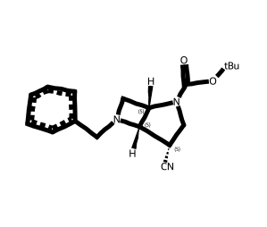 CC(C)(C)OC(=O)N1C[C@H](C#N)[C@H]2[C@@H]1CN2Cc1ccccc1